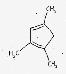 CC1=CC(C)=C(C)C1